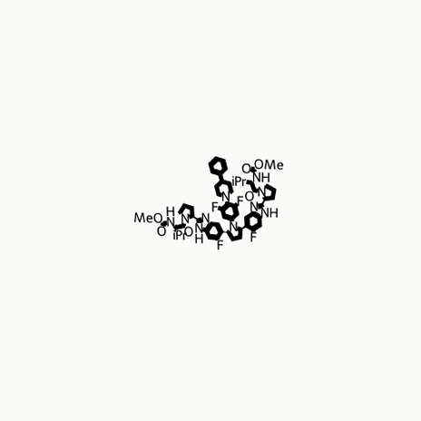 COC(=O)NC(C(=O)N1CCC[C@H]1c1nc2cc([C@H]3CC[C@H](c4cc5nc([C@@H]6CCCN6C(=O)[C@@H](NC(=O)OC)C(C)C)[nH]c5cc4F)N3c3cc(F)c(N4CCC(c5ccccc5)CC4)c(F)c3)c(F)cc2[nH]1)C(C)C